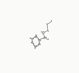 CCCOP(C)c1ccccc1